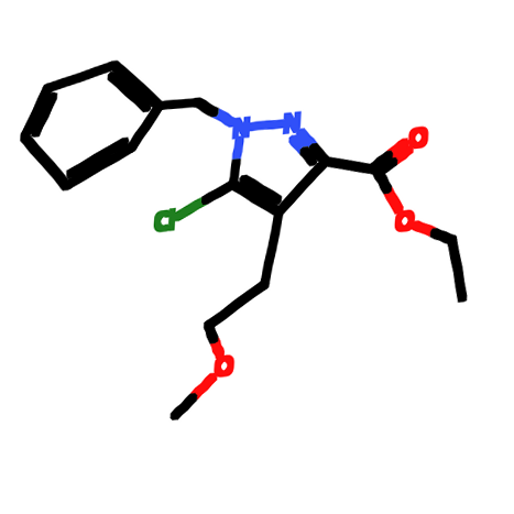 CCOC(=O)c1nn(Cc2ccccc2)c(Cl)c1CCOC